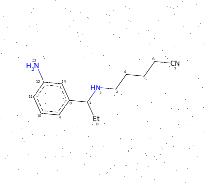 CCC(NCCCCC#N)c1cccc(N)c1